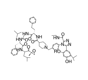 CCNC(=O)c1nnc(-c2cc(C(C)C)c(O)cc2O)n1-c1ccc(CN2CCC(C(=O)N[C@@H](CCc3ccccc3)C(=O)N[C@@H](CC(C)C)C(=O)N[C@@H](Cc3ccccc3)C(=O)NC(CC(C)C)C(=O)[C@@]3(C)CO3)CC2)cc1